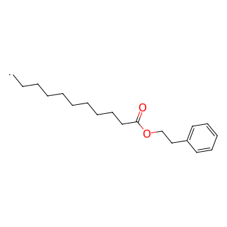 [CH2]CCCCCCCCCC(=O)OCCc1ccccc1